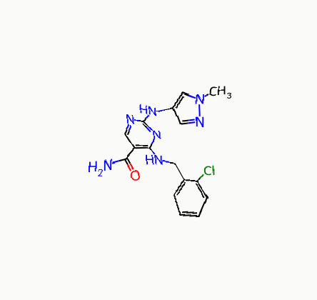 Cn1cc(Nc2ncc(C(N)=O)c(NCc3ccccc3Cl)n2)cn1